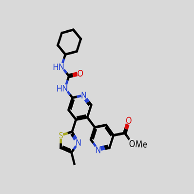 COC(=O)c1cncc(-c2cnc(NC(=O)NC3CCCCC3)cc2-c2nc(C)cs2)c1